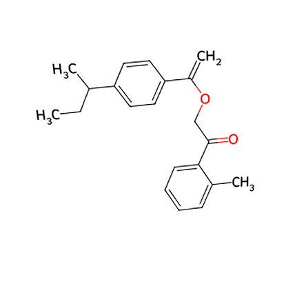 C=C(OCC(=O)c1ccccc1C)c1ccc(C(C)CC)cc1